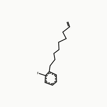 C=CCCCCCCCc1ccccc1F